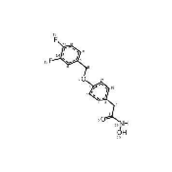 O=C(Cc1ccc(OCc2ccc(F)c(F)c2)cc1)NO